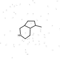 CC1CCC2CNCCN12